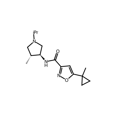 CC(C)N1C[C@@H](C)[C@H](NC(=O)c2cc(C3(C)CC3)on2)C1